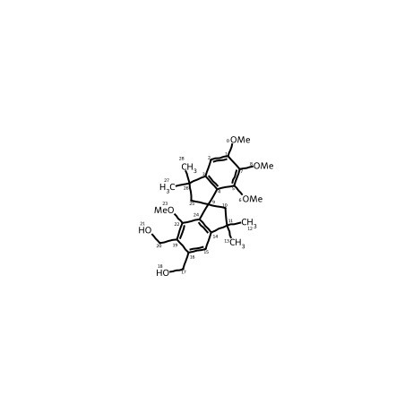 COc1cc2c(c(OC)c1OC)C1(CC(C)(C)c3cc(CO)c(CO)c(OC)c31)CC2(C)C